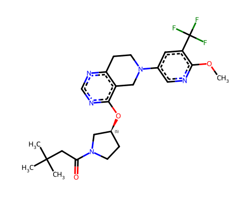 COc1ncc(N2CCc3ncnc(O[C@H]4CCN(C(=O)CC(C)(C)C)C4)c3C2)cc1C(F)(F)F